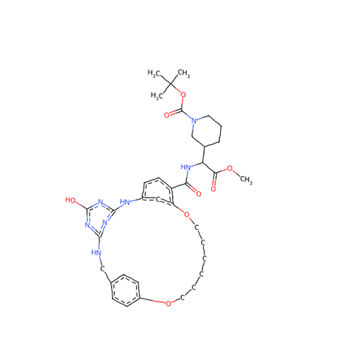 COC(=O)C(NC(=O)c1ccc2cc1OCCCCCCOc1ccc(cc1)CNc1nc(O)nc(n1)N2)C1CCCN(C(=O)OC(C)(C)C)C1